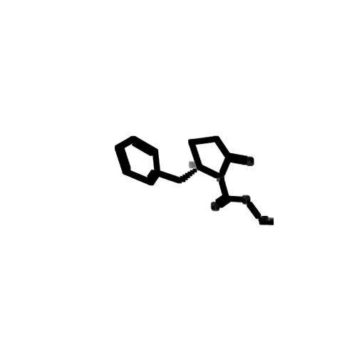 CC(C)(C)OC(=O)N1C(=O)CC[C@H]1Cc1ccccc1